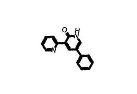 O=c1[nH]cc(-c2ccccc2)cc1-c1ccccn1